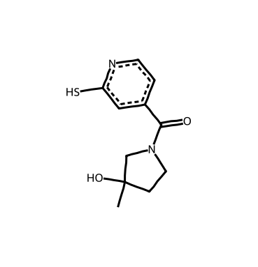 CC1(O)CCN(C(=O)c2ccnc(S)c2)C1